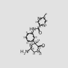 Cc1cnc(C(=O)Nc2cccc(C3(C)N=C(N)CN(C)C3=O)c2)cn1